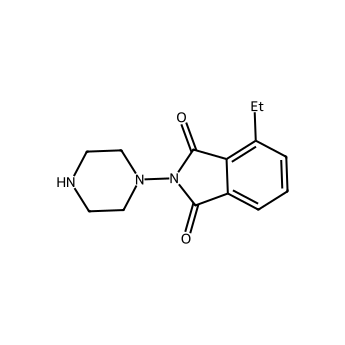 CCc1cccc2c1C(=O)N(N1CCNCC1)C2=O